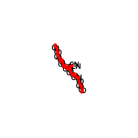 C=CC(=O)OCCOC(=O)CCC(=O)OCc1ccc(OC(=O)[C@H]2CC[C@H](C(=O)Oc3ccc(OC(=O)[C@H]4CC[C@H](C(O)Oc5ccc(COC(=O)CCC(=O)OCCOC(=O)C=C)cc5)CC4)c4c3SC(=C(C#N)C#N)S4)CC2)cc1